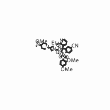 CCOc1ncccc1[C@]1(NC(=O)N2CC(N3CCC(N(C)OC)CC3)C2)C(=O)N(S(=O)(=O)c2ccc(OC)cc2OC)c2ccc(C#N)cc21